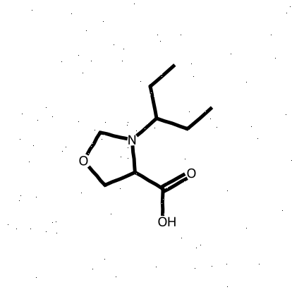 CCC(CC)N1COCC1C(=O)O